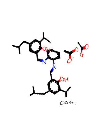 CC(=O)[O-].CC(=O)[O-].CC(C)Cc1cc(C=Nc2ccccc2N=Cc2cc(CC(C)C)cc(C(C)C)c2O)c(O)c(C(C)C)c1.[Co+2]